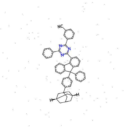 N#Cc1cccc(-c2nc(-c3ccccc3)nc(-c3cccc4c3-c3ccccc3C4(c3ccccc3)c3ccc(C45CC6C[C@H](C4)C[C@@H](C6)C5)cc3)n2)c1